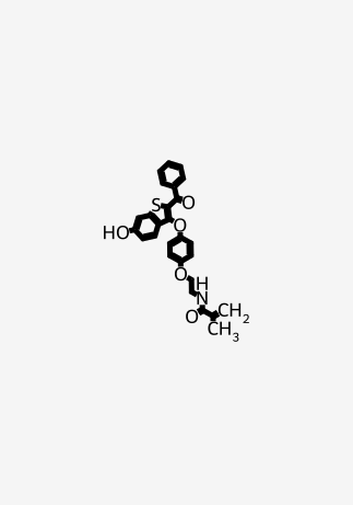 C=C(C)C(=O)NCCOc1ccc(Oc2c(C(=O)c3ccccc3)sc3cc(O)ccc23)cc1